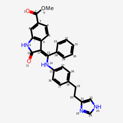 COC(=O)c1ccc2c(c1)NC(=O)/C2=C(\Nc1ccc(CCc2c[nH]cn2)cc1)c1ccccc1